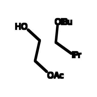 CC(=O)OCCO.CC(C)COCC(C)C